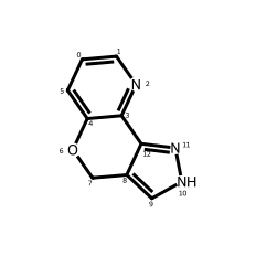 c1cnc2c(c1)OCc1c[nH]nc1-2